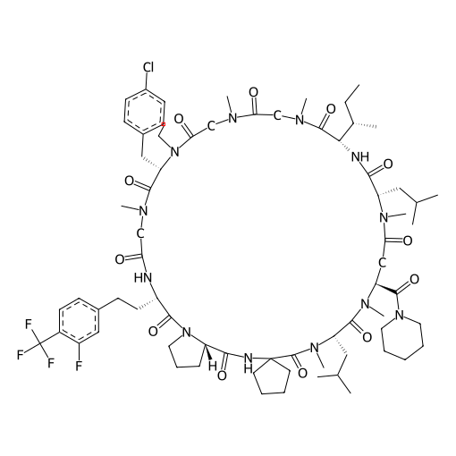 CC[C@H](C)[C@@H]1NC(=O)[C@H](CC(C)C)N(C)C(=O)C[C@@H](C(=O)N2CCCCC2)N(C)C(=O)[C@H](CC(C)C)N(C)C(=O)C2(CCCC2)NC(=O)[C@@H]2CCCN2C(=O)[C@H](CCc2ccc(C(F)(F)F)c(F)c2)NC(=O)CN(C)C(=O)[C@H](Cc2ccc(Cl)cc2)N(CC)C(=O)CN(C)C(=O)CN(C)C1=O